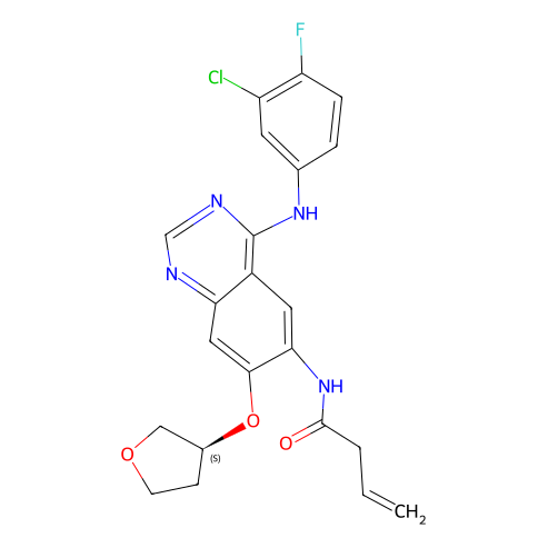 C=CCC(=O)Nc1cc2c(Nc3ccc(F)c(Cl)c3)ncnc2cc1O[C@H]1CCOC1